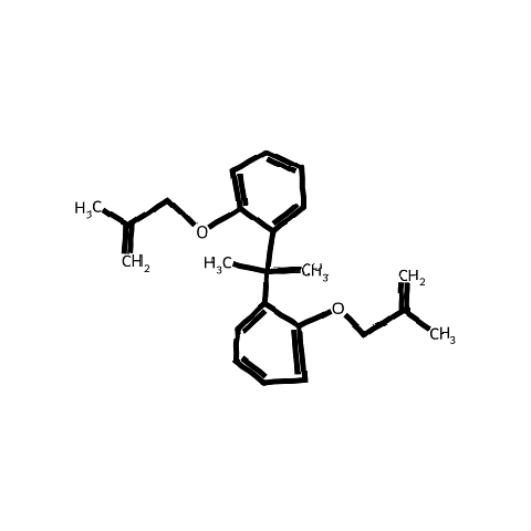 C=C(C)COc1ccccc1C(C)(C)c1ccccc1OCC(=C)C